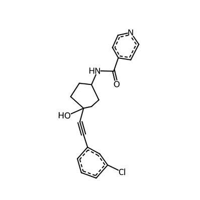 O=C(NC1CCC(O)(C#Cc2cccc(Cl)c2)CC1)c1ccncc1